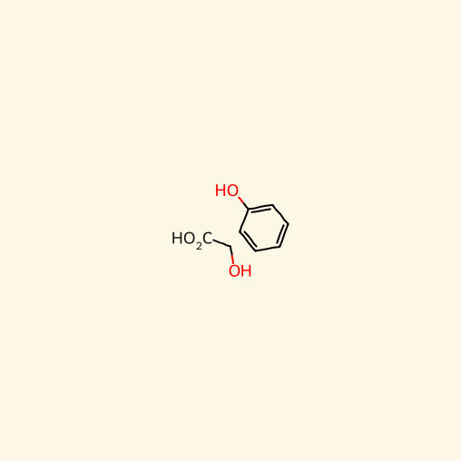 O=C(O)CO.Oc1ccccc1